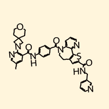 Cc1cnc(N2CC3(CCOCC3)C2)c(C(=O)Nc2ccc(C(=O)N3CCc4cc(C(=O)NCc5cccnc5)sc4-c4ncccc43)cc2)c1